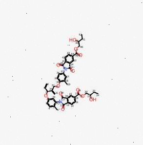 C=CC(Oc1ccc(C)c(N2C(=O)c3ccc(C(=O)OCC(O)CC)cc3C2=O)c1)C(=C)COc1ccc(N2C(=O)c3ccc(C(=O)OCC(O)CC)cc3C2=O)cc1C